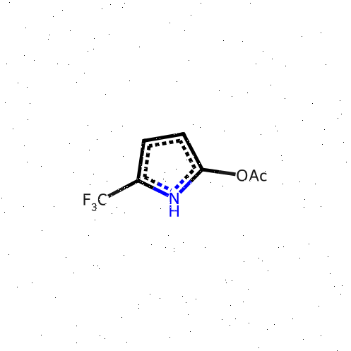 CC(=O)Oc1ccc(C(F)(F)F)[nH]1